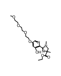 CCOC(=O)[C@@]1(C)CN(C)C(c2ncc(OCCOCCOCCOC)cc2O)=N1